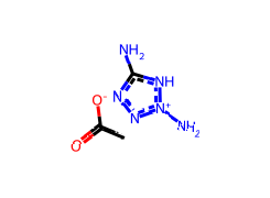 CC(=O)[O-].Nc1nn[n+](N)[nH]1